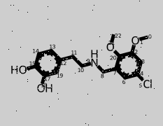 COc1cc(Cl)cc(CNCCc2ccc(O)c(O)c2)c1OC